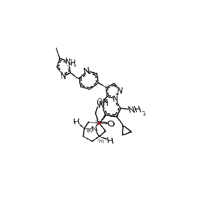 Cc1cnc(-c2ccc(-c3cnn4c(N)c(C5CC5)c([C@@H]5C[C@H]6CC[C@@H](C5)N6C(=O)CO)nc34)cn2)[nH]1